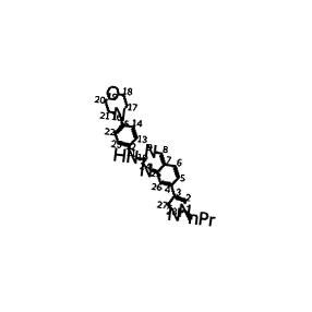 CCCn1cc(-c2ccc3cnc(Nc4ccc(N5CCOCC5)cc4)nc3c2)cn1